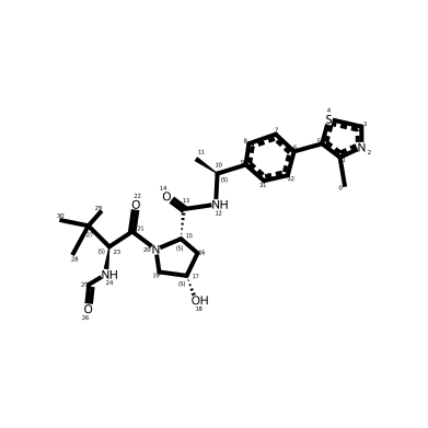 Cc1ncsc1-c1ccc([C@H](C)NC(=O)[C@@H]2C[C@H](O)CN2C(=O)[C@@H](NC=O)C(C)(C)C)cc1